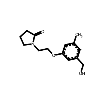 Cc1[c]c(CO)cc(OCCN2CCCC2=O)c1